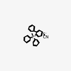 C[P+](c1ccccc1)(c1ccccc1)c1ccccc1-c1ccccc1.N#C[S-]